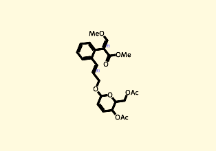 CO/C=C(/C(=O)OC)c1ccccc1/C=C/COC1C=CC(OC(C)=O)C(COC(C)=O)O1